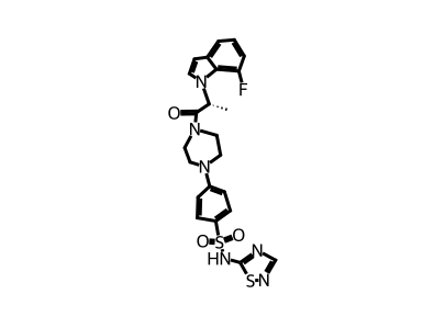 C[C@H](C(=O)N1CCN(c2ccc(S(=O)(=O)Nc3ncns3)cc2)CC1)n1ccc2cccc(F)c21